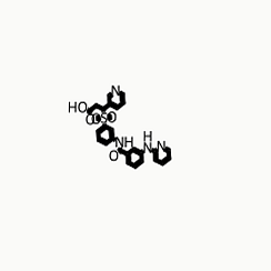 O=C(O)CC(c1cccnc1)S(=O)(=O)c1cccc(NC(=O)c2cccc(Nc3ccccn3)c2)c1